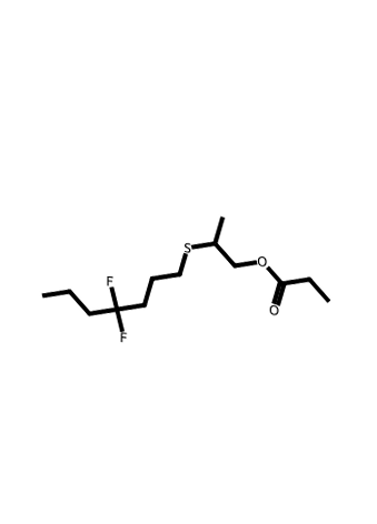 CCCC(F)(F)CCCSC(C)COC(=O)CC